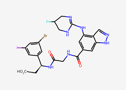 O=C(O)C[C@H](NC(=O)CNC(=O)c1cc(NC2=NCC(F)CN2)c2cn[nH]c2c1)c1cc(Br)cc(I)c1